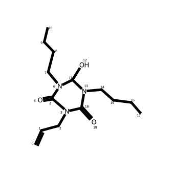 C=CCN1C(=O)N(CCCC)C(O)N(CCCC)C1=O